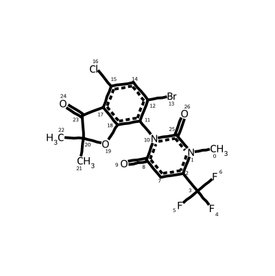 Cn1c(C(F)(F)F)cc(=O)n(-c2c(Br)cc(Cl)c3c2OC(C)(C)C3=O)c1=O